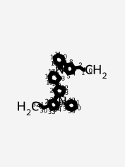 C=CCc1ccc2c(c1)c1ccccc1n2-c1cccc(-c2ccc3c(c2)c2cc(CC=C)ccc2n3-c2ccccc2)c1